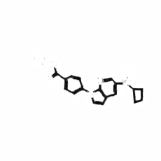 COC(=O)c1ccc(-n2ccc3cc([S@@+]([O-])C4CCC4)cnc32)cc1